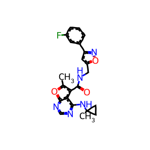 Cc1oc2ncnc(NC3(C)CC3)c2c1C(=O)NCc1cc(-c2cccc(F)c2)no1